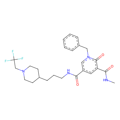 CNC(=O)c1cc(C(=O)NCCCC2CCN(CC(F)(F)F)CC2)cn(Cc2ccccc2)c1=O